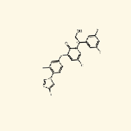 Cc1cn(-c2ccc(Oc3cc(Cl)cn([C@@H](CO)c4cc(F)cc(F)c4)c3=O)cc2C)cn1